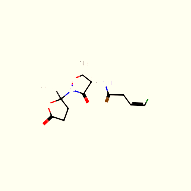 O=C1CCC(C(=O)[O-])(N2OC[C@H](NC(=S)C/C=C\Cl)C2=O)O1.[Na+]